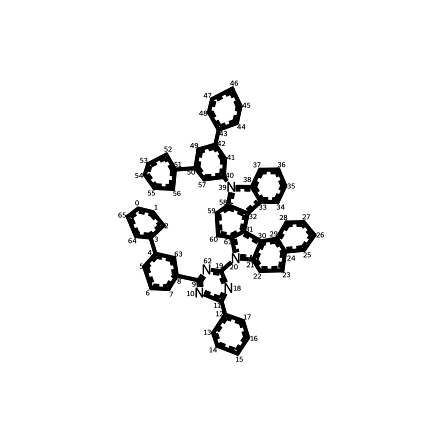 c1ccc(-c2cccc(-c3nc(-c4ccccc4)nc(-n4c5ccc6ccccc6c5c5c6c7ccccc7n(-c7cc(-c8ccccc8)cc(-c8ccccc8)c7)c6ccc54)n3)c2)cc1